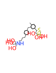 Cc1ccc(C2[C@H](O)[C@H](O)[C@H](O)C[SH]2C)cc1Cc1ccc(CCCCNC(CO)(CO)CO)cc1